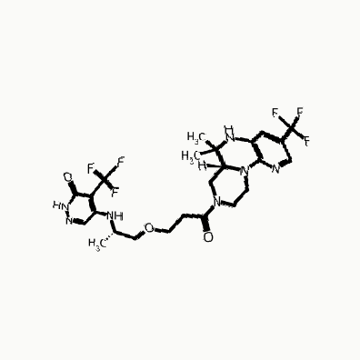 C[C@@H](COCCC(=O)N1CCN2c3ncc(C(F)(F)F)cc3NC(C)(C)[C@H]2C1)Nc1cn[nH]c(=O)c1C(F)(F)F